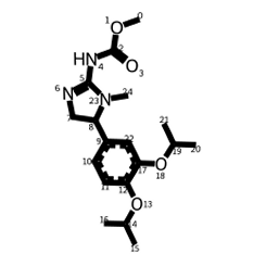 COC(=O)NC1=NCC(c2ccc(OC(C)C)c(OC(C)C)c2)N1C